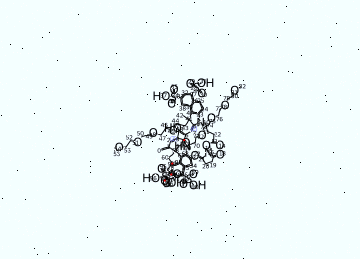 C=C(/C=C1\C(=O)C(/C=C2/N(CCCC(=O)ON3C(=O)CCC3=O)c3ccc4c(S(=O)(=O)O)cc(S(=O)(=O)O)cc4c3C2(C)CCOCCOCCOCCOC)=C1O)C(C)(CCCS(=O)(=O)O)c1c(NCCOCCOCCOCCOC)ccc2c(S(=O)(=O)O)cc(S(=O)(=O)O)cc12